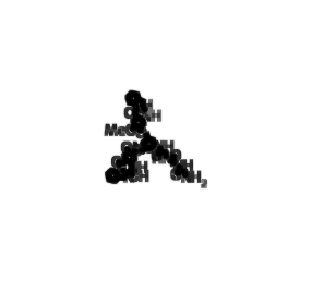 COc1cc2c(cc1OCc1cc(COc3cc4c(cc3OC)C(=O)N3c5ccccc5C[C@H]3C(O)N4)cc(NC(=O)CNC(=O)CNC(=O)CN)c1)NC[C@@H]1Cc3ccccc3N1C2=O